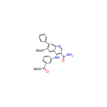 COC(=O)c1cccc(Nc2c(C(N)=O)cnc3cc(-c4ccccc4)c(OC)cc23)c1